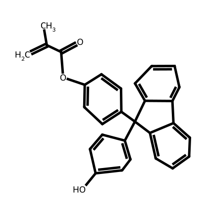 C=C(C)C(=O)Oc1ccc(C2(c3ccc(O)cc3)c3ccccc3-c3ccccc32)cc1